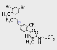 CC1C(Br)=CC(Br)=CC1C(/C=C/c1ccc(C(=O)N[C@H](C)C(=O)NCCC(F)(F)F)c(C(F)(F)F)c1)C(F)(F)F